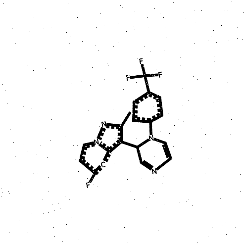 Cc1nn2ccc(F)cc2c1C1C=NC=CN1c1ccc(C(F)(F)F)cc1